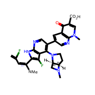 C=C(F)/C=C(/NC)c1[nH]c2ncc(-c3cnc4c(c3)c(=O)c(C(=O)O)cn4C)c(N3CC[C@@H]4[C@H]3CN4C)c2c1F